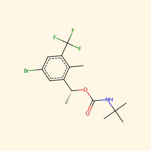 Cc1c([C@@H](C)OC(=O)NC(C)(C)C)cc(Br)cc1C(F)(F)F